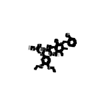 CCOc1ccc([C@H](CC(=O)O)NC(=O)Nc2c(O)c(C)c(C)n(Cc3ccccc3Cl)c2=O)cc1OCC